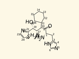 N[C@@H](Cc1cnc[nH]1)C(=O)C(C1CCCCC1)[C@H](N)[C@@H](O)c1nccs1